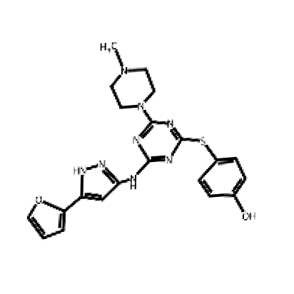 CN1CCN(c2nc(Nc3cc(-c4ccco4)[nH]n3)nc(Sc3ccc(O)cc3)n2)CC1